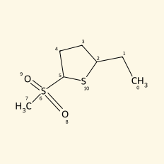 CCC1CCC(S(C)(=O)=O)S1